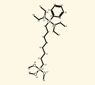 CCN(CC)[Si](CCCCCCCC[Si](OC)(OC)OC)(c1ccccc1)N(CC)CC